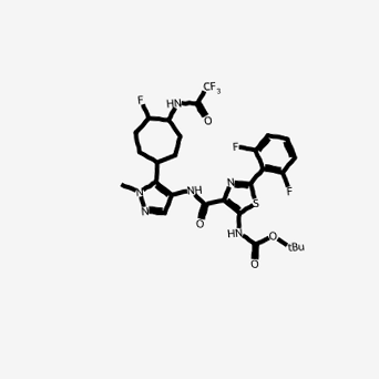 Cn1ncc(NC(=O)c2nc(-c3c(F)cccc3F)sc2NC(=O)OC(C)(C)C)c1C1CCC(F)C(NC(=O)C(F)(F)F)CC1